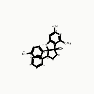 COc1nc(C#N)cc2c1C1(O)CCC(c3ccccc3)[C@]1(c1ccc(C#N)cc1)O2